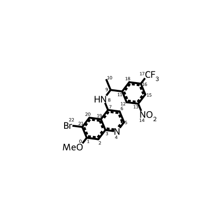 COc1cc2nccc(NC(C)c3cc([N+](=O)[O-])cc(C(F)(F)F)c3)c2cc1Br